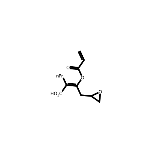 C=CC(=O)OC(CC1CO1)=C(CCC)C(=O)O